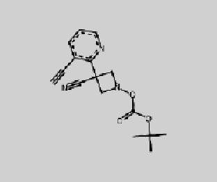 C#Cc1cccnc1C1(C#N)CN(OC(=O)OC(C)(C)C)C1